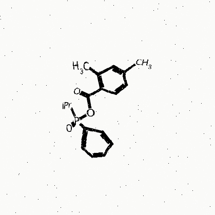 Cc1ccc(C(=O)OP(=O)(c2ccccc2)C(C)C)c(C)c1